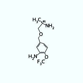 C[C@@H](N)COCc1ccc(OC(F)(F)F)c(N)c1